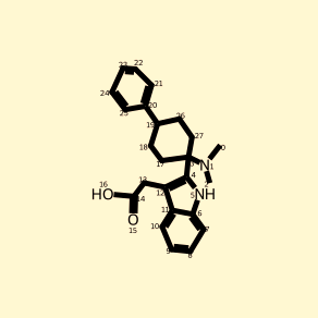 CN(C)C1(c2[nH]c3ccccc3c2CC(=O)O)CCC(c2ccccc2)CC1